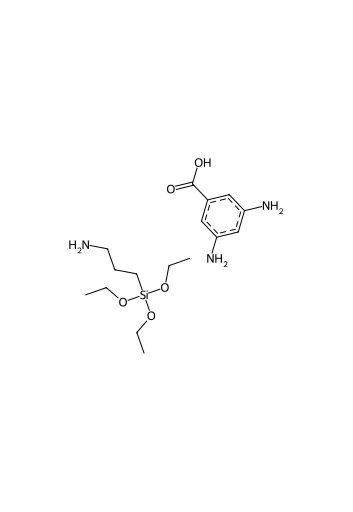 CCO[Si](CCCN)(OCC)OCC.Nc1cc(N)cc(C(=O)O)c1